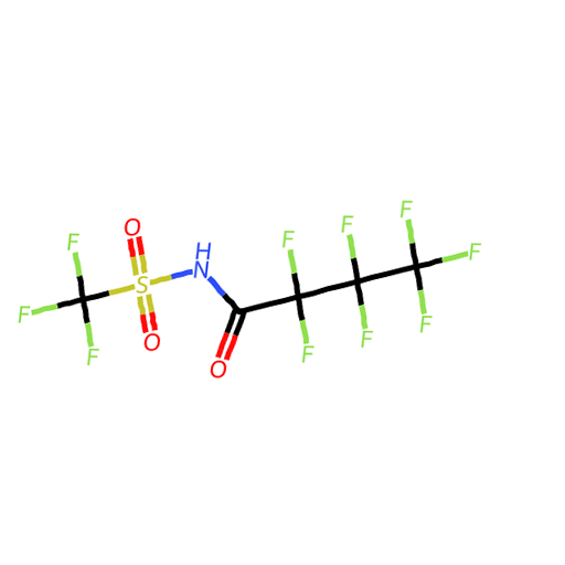 O=C(NS(=O)(=O)C(F)(F)F)C(F)(F)C(F)(F)C(F)(F)F